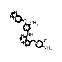 Cc1cc(Nc2ncnn3ccc(CN4CC[C@H](N)[C@@H](F)C4)c23)ccc1Oc1ccn2ncnc2c1